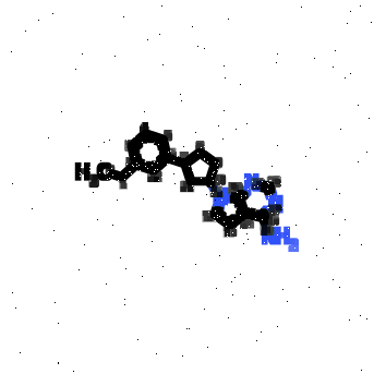 CCc1cccc(C2CCC(n3ccc4c(N)ncnc43)C2)c1